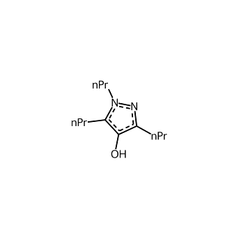 CCCc1nn(CCC)c(CCC)c1O